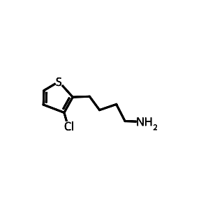 NCCCCc1sccc1Cl